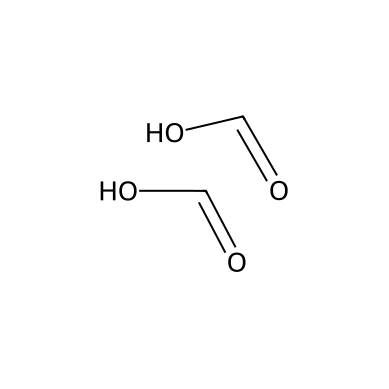 O=CO.O=CO